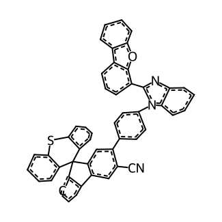 N#Cc1cc2c(cc1-c1ccc(-n3c(-c4cccc5c4oc4ccccc45)nc4ccccc43)cc1)C1(c3ccccc3Sc3ccccc31)c1ccccc1-2